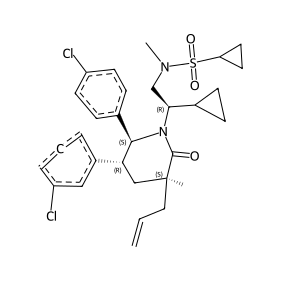 C=CC[C@@]1(C)C[C@H](c2cccc(Cl)c2)[C@@H](c2ccc(Cl)cc2)N([C@@H](CN(C)S(=O)(=O)C2CC2)C2CC2)C1=O